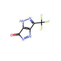 O=C1N=Nc2c(C(F)(F)F)n[nH]c21